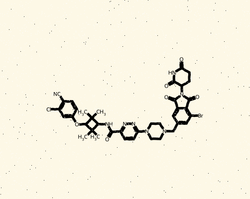 CC1(C)C(NC(=O)c2ccc(N3CCN(Cc4cc(Br)c5c(c4)C(=O)N(C4CCC(=O)NC4=O)C5=O)CC3)nn2)C(C)(C)C1Oc1ccc(C#N)c(Cl)c1